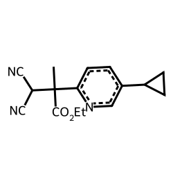 CCOC(=O)C(C)(c1ccc(C2CC2)cn1)C(C#N)C#N